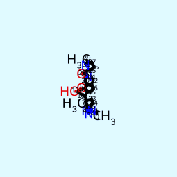 CCn1nnc2c(C)c(C(CC(=O)O)c3ccc4c(c3)CN(C(=O)c3cccc(C)n3)CC4)ccc21